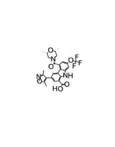 Cc1noc(C)c1-c1cc(C(=O)O)c2[nH]c3cc(OC(F)(F)F)cc(C(=O)N4C[C@@H](C)O[C@@H](C)C4)c3c2c1